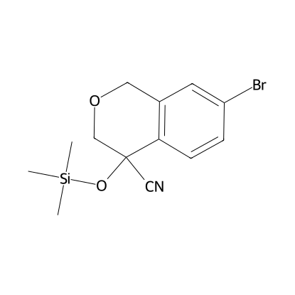 C[Si](C)(C)OC1(C#N)COCc2cc(Br)ccc21